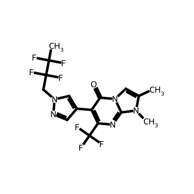 Cc1cn2c(=O)c(-c3cnn(CC(F)(F)C(C)(F)F)c3)c(C(F)(F)F)nc2n1C